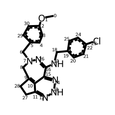 COc1ccc(CN2CC3=C4C(=NNN=C4C(NCc4ccc(Cl)cc4)=N2)CC3)cc1